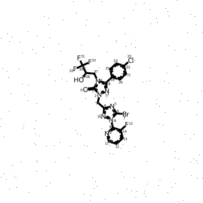 O=c1n(Cc2nc(Br)n(-c3ncccc3F)n2)nc(-c2ccc(Cl)cc2)n1CC(O)C(F)(F)F